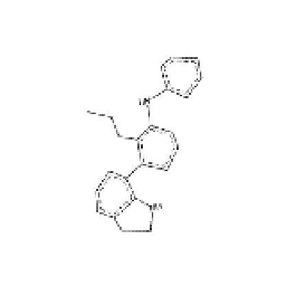 CCCc1c(Nc2ccccc2)cccc1-c1cccc2c1NCC2